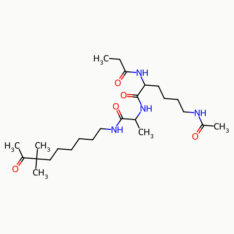 CCC(=O)NC(CCCCNC(C)=O)C(=O)NC(C)C(=O)NCCCCCCC(C)(C)C(C)=O